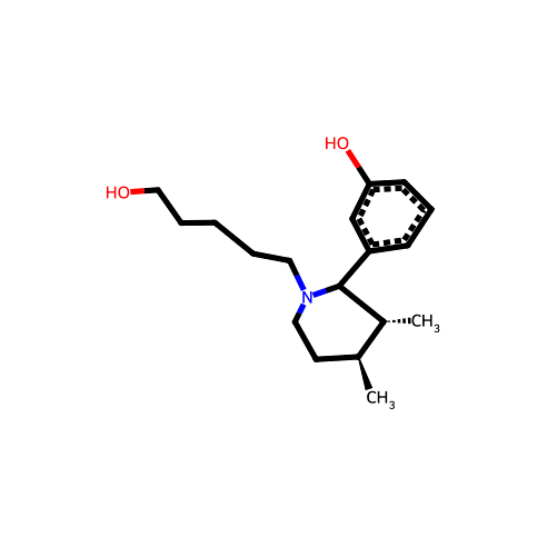 C[C@H]1CCN(CCCCCO)C(c2cccc(O)c2)[C@@H]1C